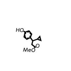 COC(=O)CC(c1ccc(O)cc1)C1CC1